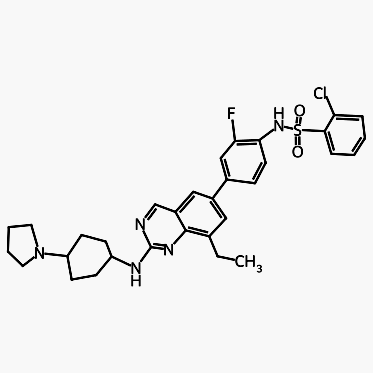 CCc1cc(-c2ccc(NS(=O)(=O)c3ccccc3Cl)c(F)c2)cc2cnc(NC3CCC(N4CCCC4)CC3)nc12